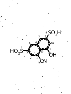 N#Cc1cc(S(=O)(=O)O)cc2cc(S(=O)(=O)O)cc(O)c12